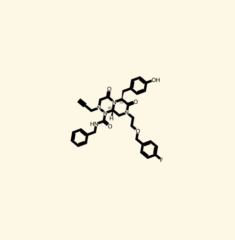 C#CCN1CC(=O)N2[C@@H](Cc3ccc(O)cc3)C(=O)N(CCOCc3ccc(F)cc3)C[C@@H]2N1C(=O)NCc1ccccc1